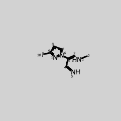 CN/C=C(\C=N)n1ccc(I)n1